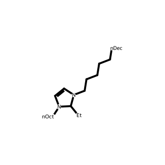 CCCCCCCCCCCCCCCN1C=CN(CCCCCCCC)C1CC